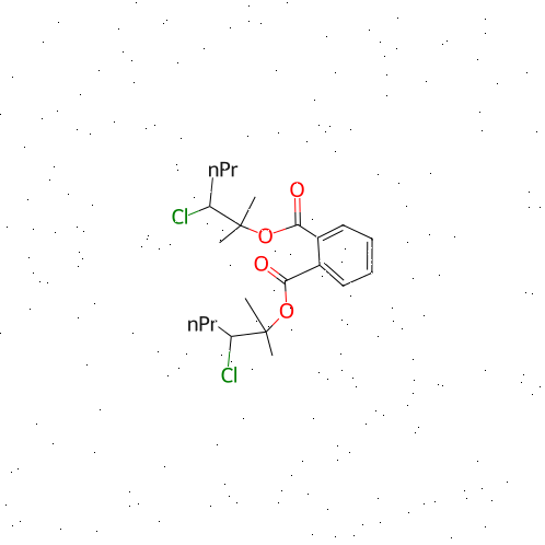 CCCC(Cl)C(C)(C)OC(=O)c1ccccc1C(=O)OC(C)(C)C(Cl)CCC